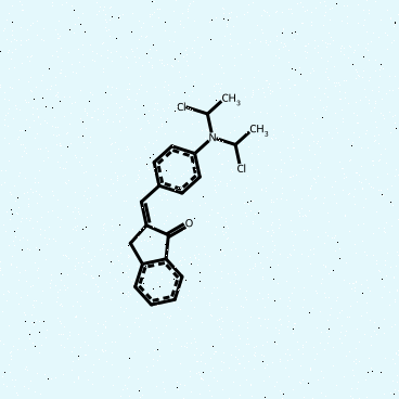 CC(Cl)N(c1ccc(C=C2Cc3ccccc3C2=O)cc1)C(C)Cl